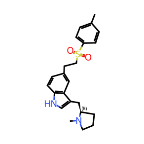 Cc1ccc(S(=O)(=O)CCc2ccc3[nH]cc(C[C@H]4CCCN4C)c3c2)cc1